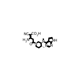 C[C@@H]1CCN(C(=O)C/C(N)=C(/C#N)C(=O)O)C[C@@H]1N(C)c1ncnc2[nH]ccc12